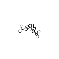 Cc1cc(C(=O)OCCN(C2CCCCC2)C2CCCCC2)ccc1C(=O)OCCN(C1CCCCC1)C1CCCCC1